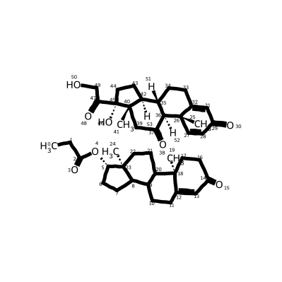 CCC(=O)O[C@H]1CCC2C3CCC4=CC(=O)CC[C@]4(C)C3CC[C@@]21C.C[C@]12C=CC(=O)C=C1CC[C@@H]1[C@@H]2C(=O)C[C@@]2(C)[C@H]1CC[C@]2(O)C(=O)CO